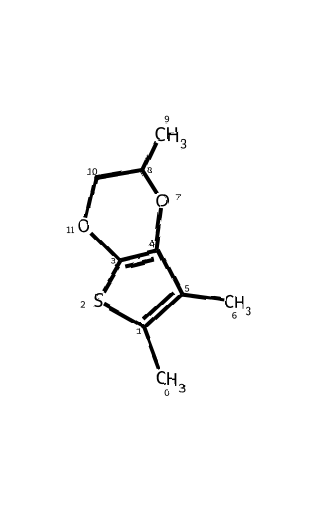 Cc1sc2c(c1C)OC(C)CO2